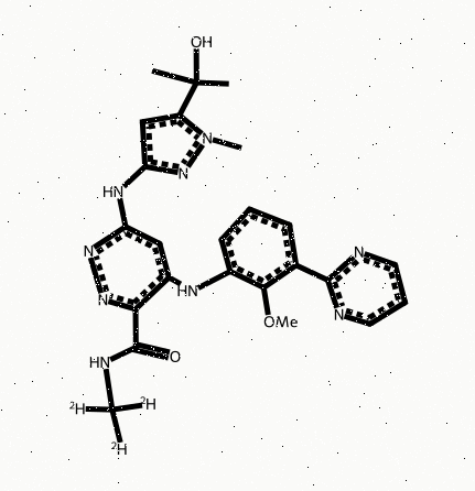 [2H]C([2H])([2H])NC(=O)c1nnc(Nc2cc(C(C)(C)O)n(C)n2)cc1Nc1cccc(-c2ncccn2)c1OC